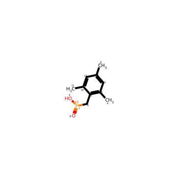 Cc1cc(C)c(C[PH](=O)O)c(C)c1